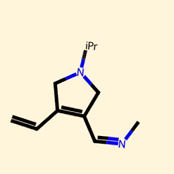 C=CC1=C(/C=N\C)CN(C(C)C)C1